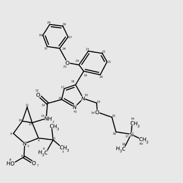 CC(C)(C)C1N(C(=O)O)CC2CC21NC(=O)c1cc(-c2ccccc2Oc2ccccc2)n(COCC[Si](C)(C)C)n1